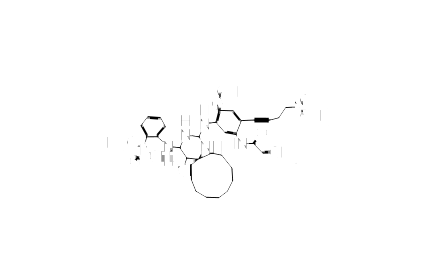 C=CC(=O)Nc1cc(NC2NC(Nc3ccccc3P(C)(C)=O)C(Cl)C3(CCCCCCCCCC3)N2)c(OC)cc1C#CCCN(C)C